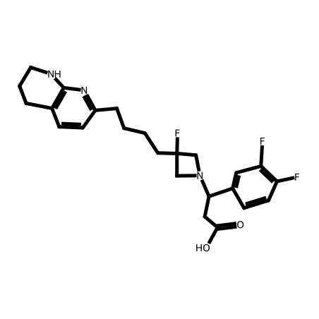 O=C(O)CC(c1ccc(F)c(F)c1)N1CC(F)(CCCCc2ccc3c(n2)NCCC3)C1